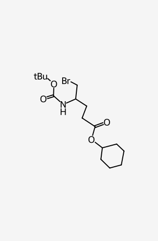 CC(C)(C)OC(=O)NC(CBr)CCC(=O)OC1CCCCC1